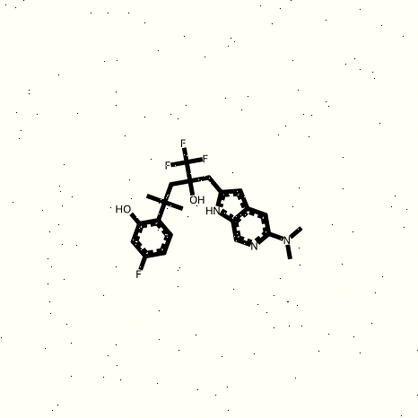 CN(C)c1cc2cc(CC(O)(CC(C)(C)c3ccc(F)cc3O)C(F)(F)F)[nH]c2cn1